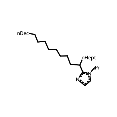 CCCCCCCCCCCCCCCCCCC(CCCCCCC)c1nccn1C(C)C